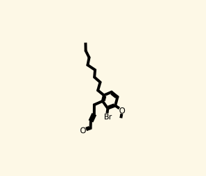 CCCCCCCCc1ccc(OC)c(Br)c1CC#CC=O